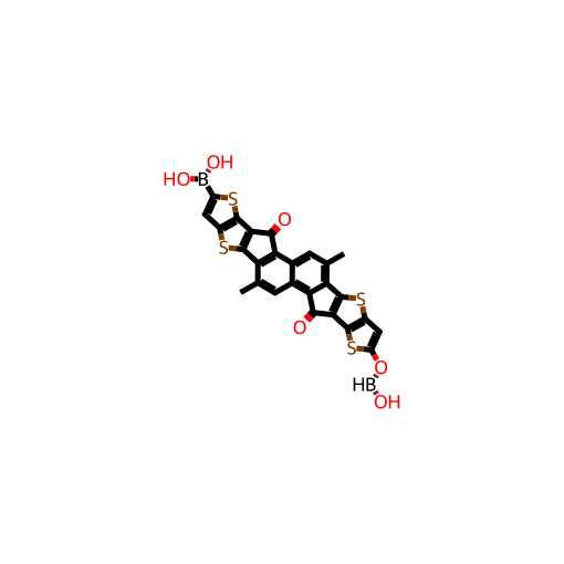 Cc1cc2c(cc(C)c3c4sc5cc(B(O)O)sc5c4c(=O)c23)c2c(=O)c3c4sc(OBO)cc4sc3c12